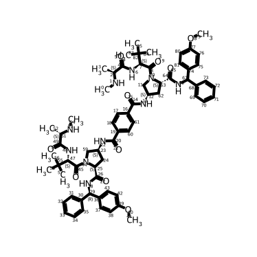 CN[C@@H](C)C(=O)N[C@H](C(=O)N1C[C@@H](NC(=O)c2ccc(C(=O)N[C@H]3C[C@@H](C(=O)N[C@H](c4ccccc4)c4ccc(OC)cc4)N(C(=O)[C@@H](NC(=O)[C@H](C)NC)C(C)(C)C)C3)cc2)C[C@H]1C(=O)NC(c1ccccc1)c1ccc(OC)cc1)C(C)(C)C